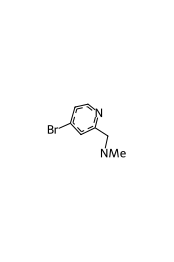 CNCc1cc(Br)ccn1